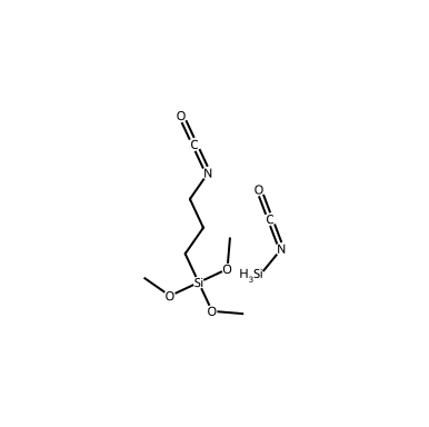 CO[Si](CCCN=C=O)(OC)OC.O=C=N[SiH3]